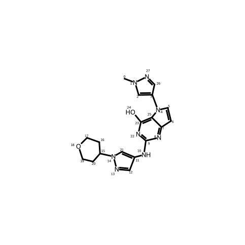 Cn1cc(-n2ccc3nc(Nc4cnn(C5CCOCC5)c4)nc(O)c32)cn1